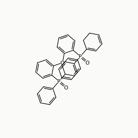 O=P(C1=CC=CCC1)(c1ccccc1)c1ccccc1Oc1ccccc1P(=O)(c1ccccc1)C1C=CC=CC1